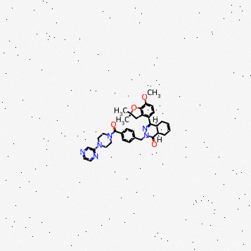 COc1ccc(C2=NN(Cc3ccc(C(=O)N4CCN(c5cnccn5)CC4)cc3)C(=O)[C@@H]3CC=CC[C@H]23)c2c1OC(C)(C)C2